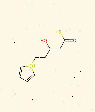 O=C(S)CC(O)CC[SH]1C=CC=C1